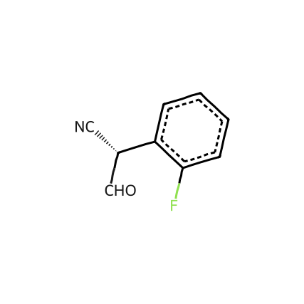 N#C[C@@H](C=O)c1ccccc1F